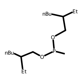 CCCCC(CC)COP(C)OCC(CC)CCCC